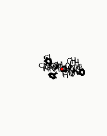 CC(C)(C)C(NC(=O)c1cc2ccccc2s1)C(=O)N1C[C@@H]2C[C@H]1CN2C(=O)[C@H](Cc1ccccc1)NS(=O)(=O)c1ccc(Cl)cc1Cl